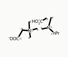 CC(=O)O.CCCN(C)C.C[N+](C)(C)CC(=O)[O-]